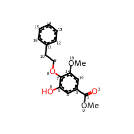 COC(=O)c1cc(O)c(OCCc2ccccc2)c(OC)c1